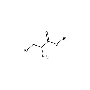 CC(C)OC(=O)[C@H](N)CO